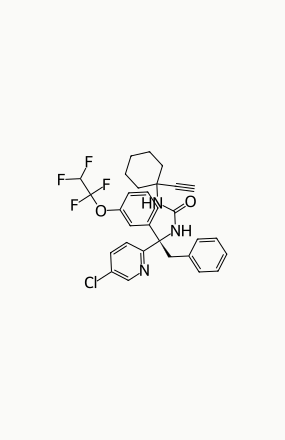 C#CC1(NC(=O)N[C@@](Cc2ccccc2)(c2cccc(OC(F)(F)C(F)F)c2)c2ccc(Cl)cn2)CCCCC1